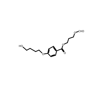 O=COCCCOC(=O)c1ccc(OCCCCO)cc1